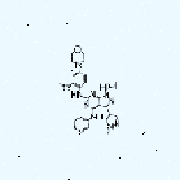 COc1cc(N2CCOCC2)ccc1Nc1nc(Nc2ccccc2)c2c(-c3cnn(C)c3)nn(PI)c2n1